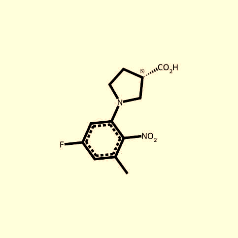 Cc1cc(F)cc(N2CC[C@H](C(=O)O)C2)c1[N+](=O)[O-]